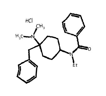 CCN(C(=O)c1ccccc1)C1CCC(Cc2ccccc2)(N(C)C)CC1.Cl